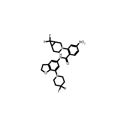 O=C(Nc1cc2c(c(N3CCC(F)(F)CC3)c1)OCC2)c1ccc([N+](=O)[O-])cc1N1CCC2C(C1)C2(F)F